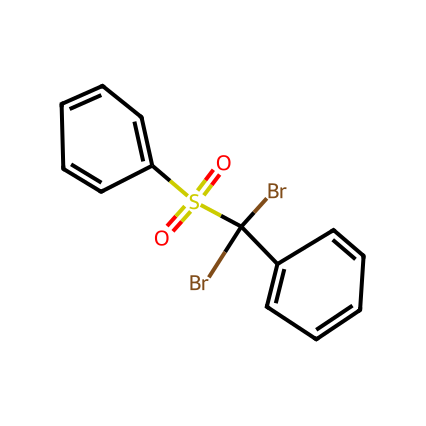 O=S(=O)(c1ccccc1)C(Br)(Br)c1ccccc1